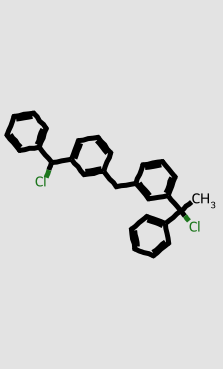 CC(Cl)(c1ccccc1)c1cccc(Cc2cccc(C(Cl)c3ccccc3)c2)c1